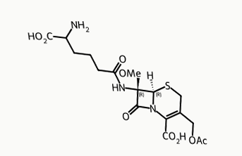 CO[C@]1(NC(=O)CCCC(N)C(=O)O)C(=O)N2C(C(=O)O)=C(COC(C)=O)CS[C@@H]21